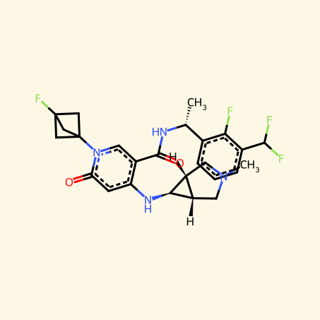 C[C@@H](NC(=O)c1cn(C23CC(F)(C2)C3)c(=O)cc1N[C@H]1[C@@H]2CN(C)C[C@@H]21)c1cccc(C(F)F)c1F